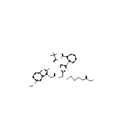 CCC(=O)CCCCC[C@H](NC(=O)Cc1c(C)[nH]c2ccc(OC)cc12)c1ncc(-c2ccccc2C(=O)OC(=O)C(F)(F)F)[nH]1